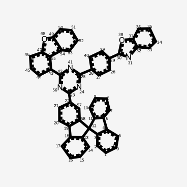 c1ccc2c(c1)-c1ccccc1C21c2ccccc2-c2ccc(-c3nc(-c4ccc(-c5nc6ccccc6o5)cc4)nc(-c4cccc5oc6ccccc6c45)n3)cc21